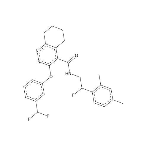 Cc1ccc(C(F)CNC(=O)c2c(Oc3cccc(C(F)F)c3)nnc3c2CCCC3)c(C)c1